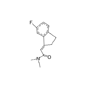 CN(C)C(=O)C=C1CCc2ccc(F)cc21